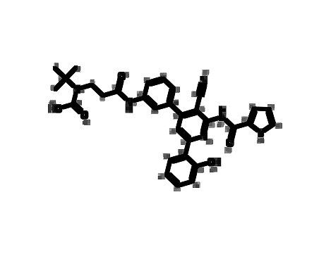 CC(C)(C)N(CCC(=O)Nc1cccc(-c2cc(-c3ccccc3O)nc(NC(=O)c3cccs3)c2C#N)c1)C(=O)O